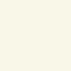 CC(=O)Oc1ccccc1C1(S)CCCCCC1